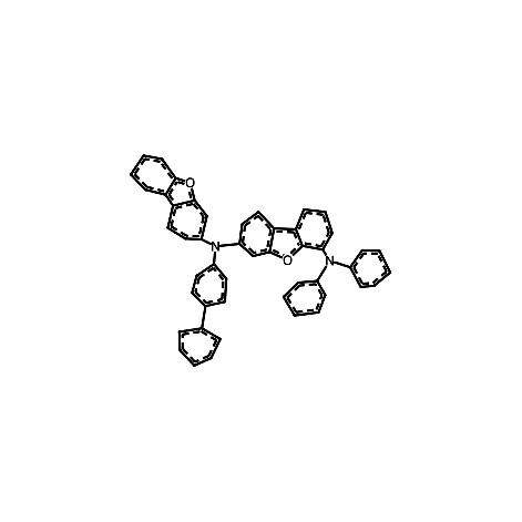 c1ccc(-c2ccc(N(c3ccc4c(c3)oc3ccccc34)c3ccc4c(c3)oc3c(N(c5ccccc5)c5ccccc5)cccc34)cc2)cc1